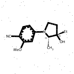 CC[C@]1(O)CCN(c2ccc(C#N)c(OC)c2)[C@H]1C